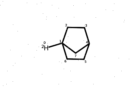 [2H]C12CCC(CC1)C2